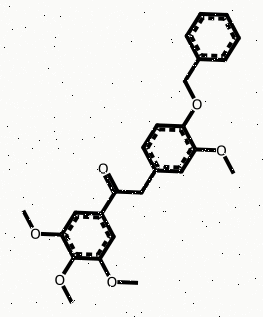 COc1cc(CC(=O)c2cc(OC)c(OC)c(OC)c2)ccc1OCc1ccccc1